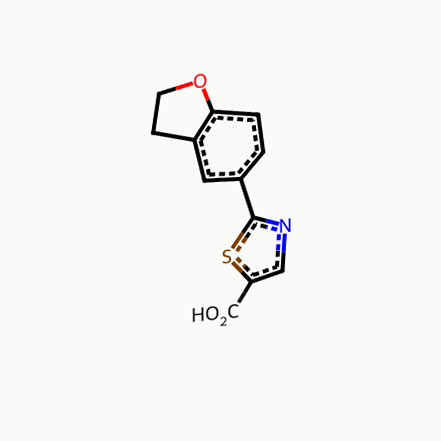 O=C(O)c1cnc(-c2ccc3c(c2)CCO3)s1